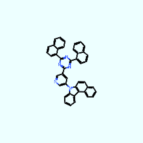 c1ccc2c(-c3nc(-c4cncc(-n5c6ccccc6c6c7ccccc7ccc65)c4)nc(-c4cccc5ccccc45)n3)cccc2c1